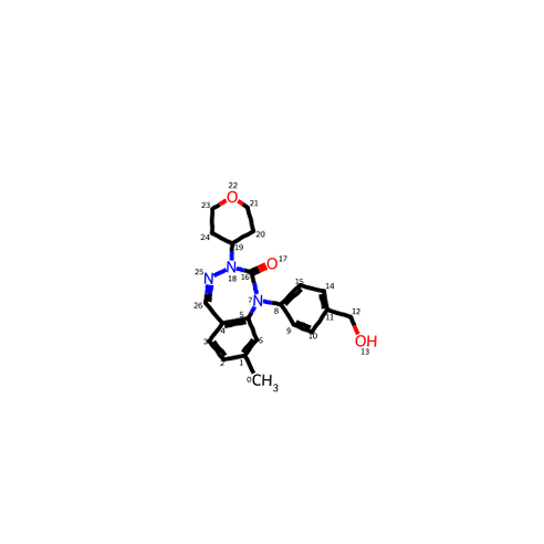 Cc1ccc2c(c1)N(c1ccc(CO)cc1)C(=O)N(C1CCOCC1)N=C2